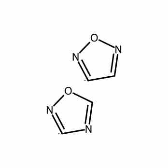 [c]1cnon1.[c]1ncon1